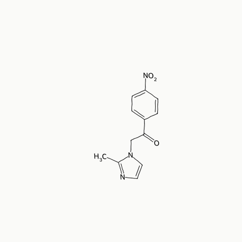 Cc1nccn1CC(=O)c1ccc([N+](=O)[O-])cc1